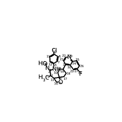 CC(/C(=N/O)Nc1ccc(Cl)cc1)C1COC12CCC(c1ccnc3ccc(F)cc13)CC2